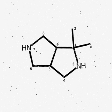 CC1(C)NCC2CNCC21